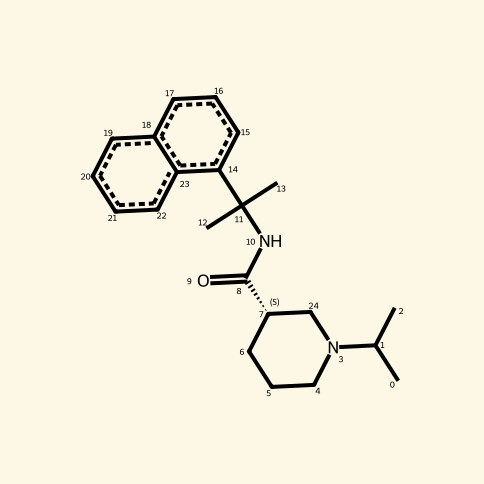 CC(C)N1CCC[C@H](C(=O)NC(C)(C)c2cccc3ccccc23)C1